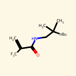 C=C(C(=O)NCC(C)(C)CCCC)C(F)(F)F